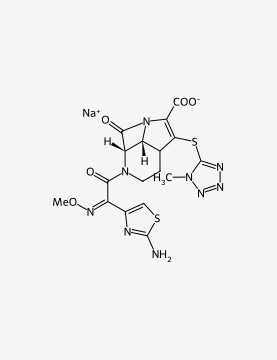 CO/N=C(\C(=O)N1CCC2C(Sc3nnnn3C)=C(C(=O)[O-])N3C(=O)[C@@H]1[C@@H]23)c1csc(N)n1.[Na+]